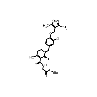 Cc1noc(C)c1COc1ccc(CN2CCC(O)=C(C(=O)NCC(=O)OC(C)(C)C)C2=O)cc1Cl